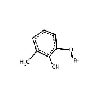 Cc1cccc(OC(C)C)c1C#N